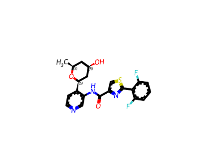 C[C@H]1C[C@@H](O)C[C@@H](c2ccncc2NC(=O)c2csc(-c3c(F)cccc3F)n2)O1